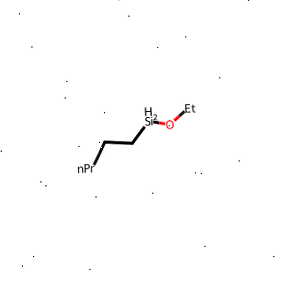 CCCCC[SiH2]OCC